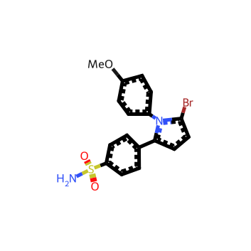 COc1ccc(-n2c(Br)ccc2-c2ccc(S(N)(=O)=O)cc2)cc1